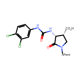 CCCCCN1C[C@@H](C(=O)O)[C@@H](NC(=O)Nc2ccc(Cl)c(Cl)c2)C1=O